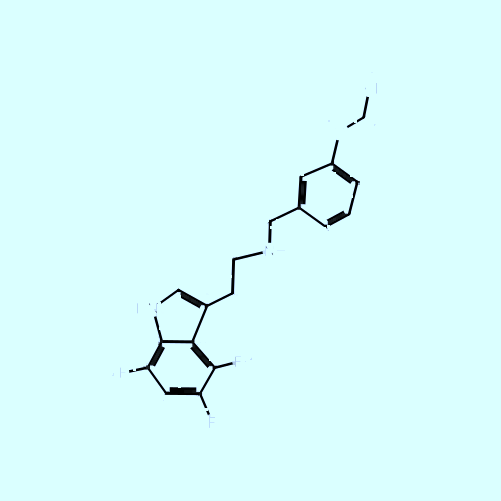 Fc1cc(F)c2[nH]cc(CCNCc3cccc(OCC(F)(F)F)c3)c2c1F